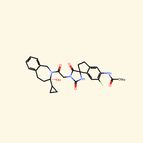 COC(=O)Nc1cc2c(cc1F)C1(CC2)NC(=O)N(CC(=O)N2Cc3ccccc3CC[C@]2(O)C2CC2)C1=O